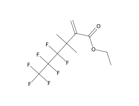 C=C(C(=O)OCC)C(C)(C)C(F)(F)C(F)(F)C(F)(F)F